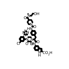 CN(CCO)C(=O)C1CCN(C(=O)Nc2ccc(CC(C(=O)Nc3ccc4[nH]c(C(=O)O)cc4c3)N3CCN(c4cc(Cl)ccc4-n4cnnn4)C(=O)C3=O)cc2)CC1